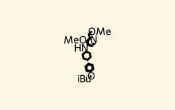 CCC(C)Oc1ccc([C@H]2CC[C@@H](Nc3ccnc(COC)c3OC)CC2)cc1